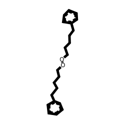 c1ccc(CCCCCOOCCCCCc2ccccc2)cc1